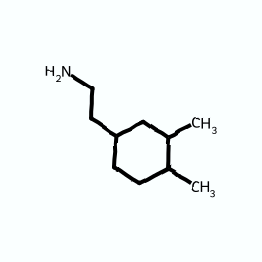 CC1CCC(CCN)CC1C